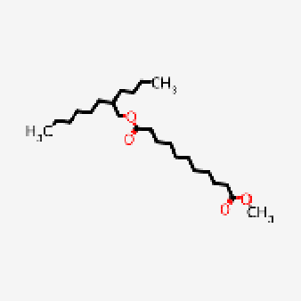 CCCCCCC(CCCC)COC(=O)CCCCCCCCCC(=O)OC